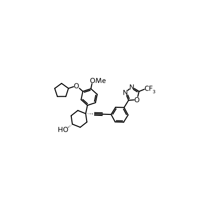 COc1ccc([C@]2(C#Cc3cccc(-c4nnc(C(F)(F)F)o4)c3)CC[C@@H](O)CC2)cc1OC1CCCC1